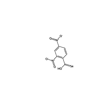 O=[N+]([O-])c1ccc(C(O)=[Se])c([N+](=O)[O-])c1